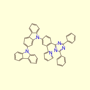 c1ccc(-c2nc(-c3ccccc3)nc(-c3ccc(-n4c5ccccc5c5ccc(-n6c7ccccc7c7ccccc76)cc54)cc3-c3ccccn3)n2)cc1